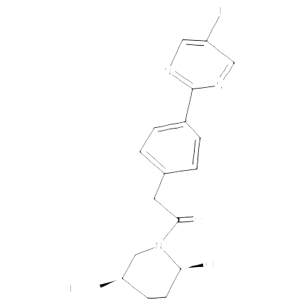 C[C@H]1CC[C@@H](C(=O)O)CN1C(=O)Cc1ccc(-c2ncc(F)cn2)cc1